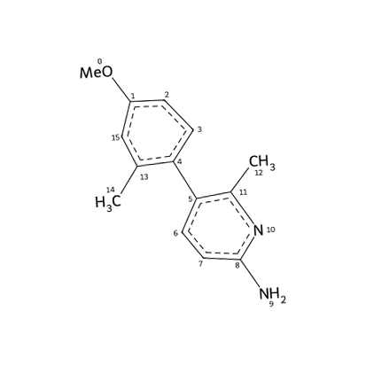 COc1ccc(-c2ccc(N)nc2C)c(C)c1